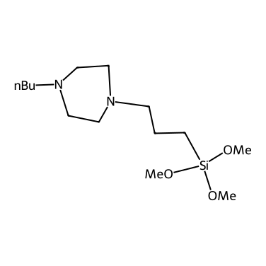 CCCCN1CCN(CCC[Si](OC)(OC)OC)CC1